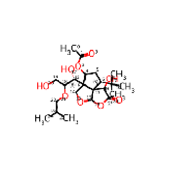 CC(=O)OC1C[C@@H](C(C)(C)C)C23C(OCC12[C@@H](O)C(CO)OCC(C)C)OC(=O)[C@@H]3O